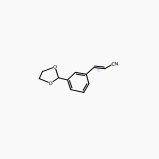 N#C/C=C/c1cccc(C2OCCO2)c1